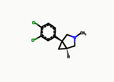 CN1C[C@H]2C[C@]2(c2ccc(Cl)c(Cl)c2)C1